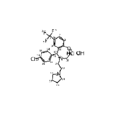 Cl.Cl.FC(F)(F)c1ccc2c(c1)C(c1ccc(Cl)cc1)N(CCN1CCCC1)CCO2